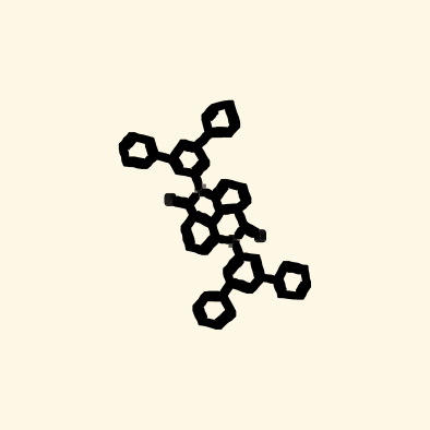 O=c1c2cccc3c2c2c(cccc2n1-c1cc(-c2ccccc2)cc(-c2ccccc2)c1)c(=O)n3-c1cc(-c2ccccc2)cc(-c2ccccc2)c1